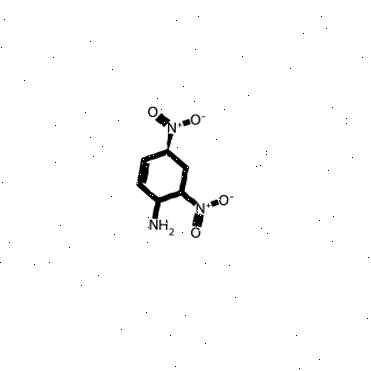 NC1C=C[C@@H]([N+](=O)[O-])CC1[N+](=O)[O-]